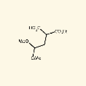 CCOC(=O)C(CC(OC)OC)C(=O)O